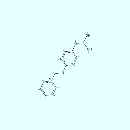 OB(O)Oc1ccc(OCc2ccccc2)nc1